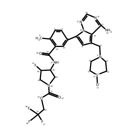 Cc1ccc(-c2cc(CN3CC[S+]([O-])CC3)c3c(N)ncnn23)cc1C(=O)NC1CN(C(=O)OCC(F)(F)F)CC1F